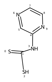 S=C(S)Nc1cnccn1